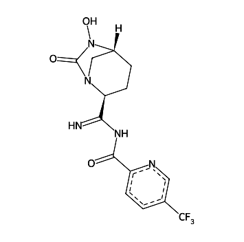 N=C(NC(=O)c1ccc(C(F)(F)F)cn1)[C@@H]1CC[C@@H]2CN1C(=O)N2O